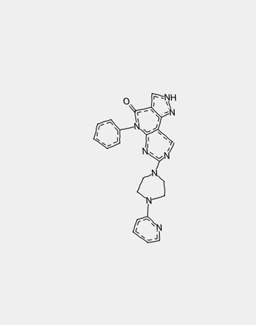 O=c1c2c[nH]nc2c2cnc(N3CCN(c4ccccn4)CC3)nc2n1-c1ccccc1